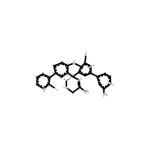 Cc1cc(-c2cc3c(c(F)n2)Oc2ccc(-c4cccnc4F)cc2[C@@]32COCC(N)=N2)ccn1